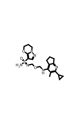 Cc1c(C2CC2)nc2c(c1NCOCN=S(N)(=O)c1cnn3c1OCCC3)CCC2